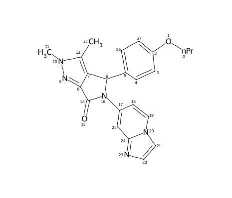 CCCOc1ccc(C2c3c(nn(C)c3C)C(=O)N2c2ccn3ccnc3c2)cc1